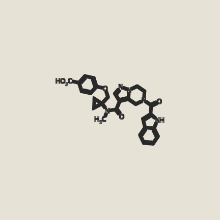 CN(C(=O)c1cnn2c1CN(C(=O)c1cc3ccccc3[nH]1)CC2)C1(COc2ccc(C(=O)O)cc2)CC1